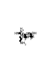 N=C(N)NCCCN.O=C(O)C(F)(F)F.O=C(O)C(F)(F)F